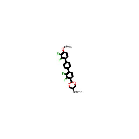 CCCCCCCC1COC(c2ccc(-c3ccc(-c4ccc(OCCCCCC)c(F)c4F)cc3)c(F)c2F)OC1